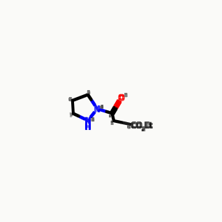 CCOC(=O)CC(=O)N1CCCN1